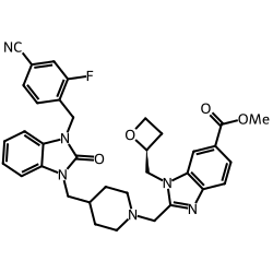 COC(=O)c1ccc2nc(CN3CCC(Cn4c(=O)n(Cc5ccc(C#N)cc5F)c5ccccc54)CC3)n(C[C@@H]3CCO3)c2c1